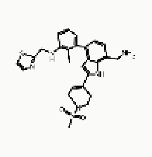 Cc1c(NCc2nccs2)cccc1-c1ccc(CN)c2[nH]c(C3=CCN(S(C)(=O)=O)CC3)cc12